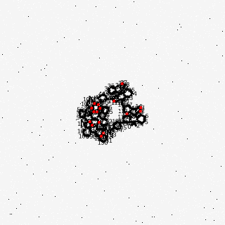 CC1(C)c2ccccc2C2(c3ccccc3-c3cc(CC4(C)c5ccccc5C5(c6ccccc6-c6ccccc65)c5cc(-c6cccc(-c7cccc8c(-c9cccc(-c%10ccc%11c(-c%12ccccc%12-c%12ccc%13c(c%12)C%12(c%14ccccc%14-c%14ccccc%14%12)c%12ccccc%12C%13(C)C)cccc%11n%10)c9)ccnc78)c6)ccc54)ccc32)c2ccc(-c3ccc(-c4ncc5ccccc5n4)cc3)cc21